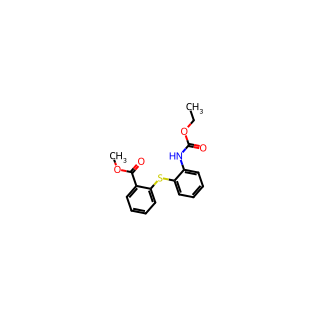 CCOC(=O)Nc1ccccc1Sc1ccccc1C(=O)OC